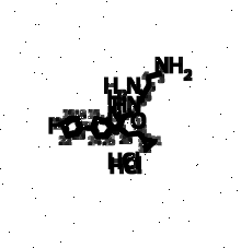 Cl.Cl.NCCCC(N)CNC(=O)c1[nH]c2cc(-c3ccc(F)cc3)ccc2c1CCC1CC1